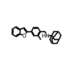 Cc1cc(-c2cc3ccccc3o2)ccc1CNC12CC3CC(CC(C3)C1)C2